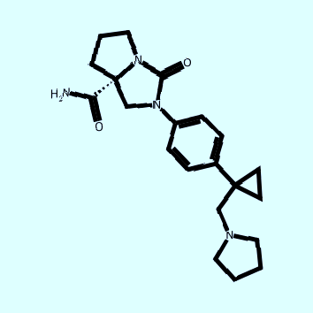 NC(=O)[C@]12[CH]CCN1C(=O)N(c1ccc(C3(CN4CCCC4)CC3)cc1)C2